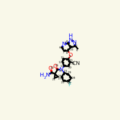 Cc1n[nH]c2nccc(Oc3ccc(N(C(=O)C4(C(N)=O)CC4)c4ccc(F)cc4)cc3C#N)c12